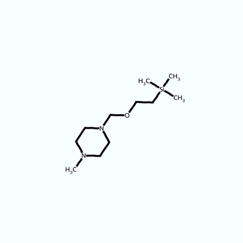 CN1CCN([CH]OCC[Si](C)(C)C)CC1